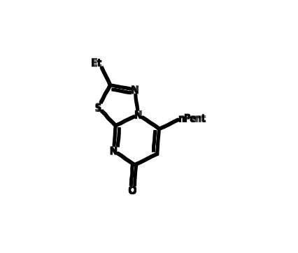 CCCCCc1cc(=O)nc2sc(CC)nn12